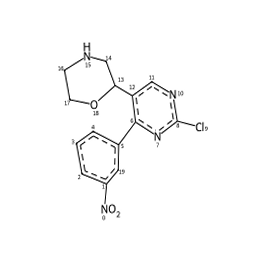 O=[N+]([O-])c1cccc(-c2nc(Cl)ncc2C2CNCCO2)c1